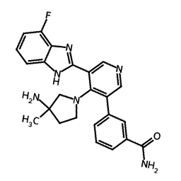 CC1(N)CCN(c2c(-c3cccc(C(N)=O)c3)cncc2-c2nc3c(F)cccc3[nH]2)C1